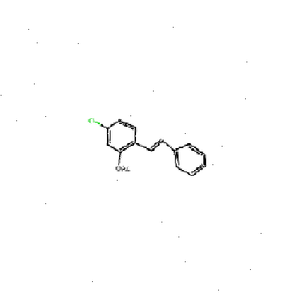 CC(=O)Oc1cc(Cl)ccc1C=Cc1ccccc1